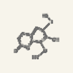 O=c1ccc2cc(OS)c(O)c(OS)c2o1